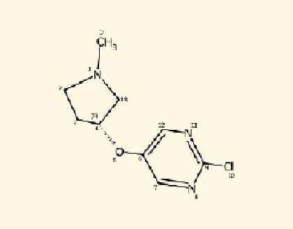 CN1CC[C@@H](Oc2cnc(Cl)nc2)C1